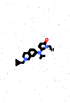 [2H]Cn1cc(N(c2ccc3c(c2)CN(CC2CC2)CC3)C(C)C)ccc1=O